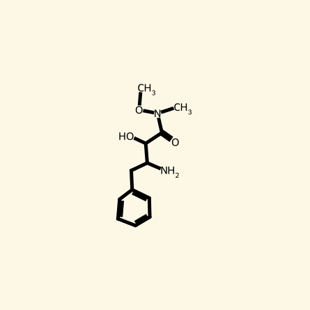 CON(C)C(=O)C(O)C(N)Cc1ccccc1